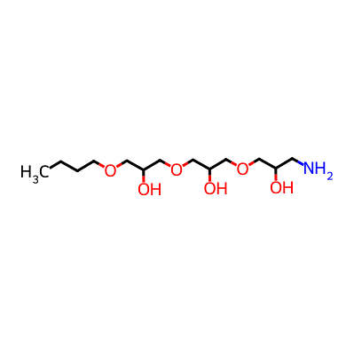 CCCCOCC(O)COCC(O)COCC(O)CN